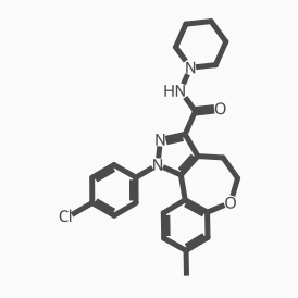 Cc1ccc2c(c1)OCCc1c(C(=O)NN3CCCCC3)nn(-c3ccc(Cl)cc3)c1-2